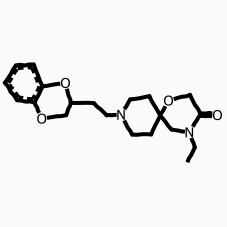 CCN1CC2(CCN(CCC3COc4ccccc4O3)CC2)OCC1=O